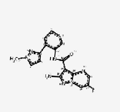 Cn1ccc(-c2ccncc2NC(=O)c2c(N)nn3cc(F)cnc23)n1